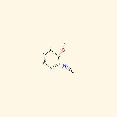 [C-]#[N+]c1c(C)cccc1OC